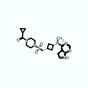 CN(c1ncnc2[nH]ccc12)[C@H]1C[C@@H](CS(=O)(=O)N2CCN(C(=O)C3CC3)CC2)C1